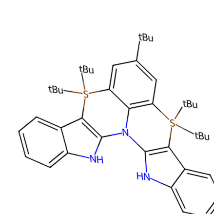 CC(C)(C)c1cc2c3c(c1)S(C(C)(C)C)(C(C)(C)C)c1c([nH]c4ccccc14)N3c1[nH]c3ccccc3c1S2(C(C)(C)C)C(C)(C)C